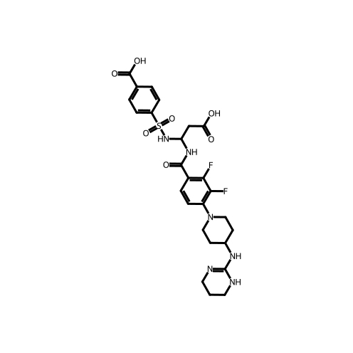 O=C(O)CC(NC(=O)c1ccc(N2CCC(NC3=NCCCN3)CC2)c(F)c1F)NS(=O)(=O)c1ccc(C(=O)O)cc1